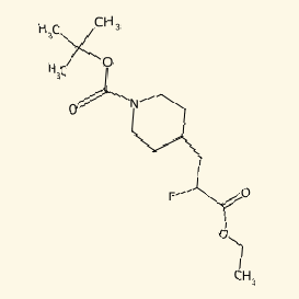 CCOC(=O)C(F)CC1CCN(C(=O)OC(C)(C)C)CC1